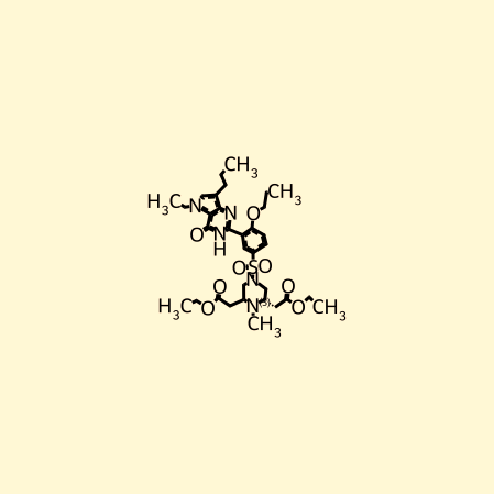 CCCOc1ccc(S(=O)(=O)N2CC(CC(=O)OCC)N(C)[C@@H](CC(=O)OCC)C2)cc1-c1nc2c(CCC)cn(CC)c2c(=O)[nH]1